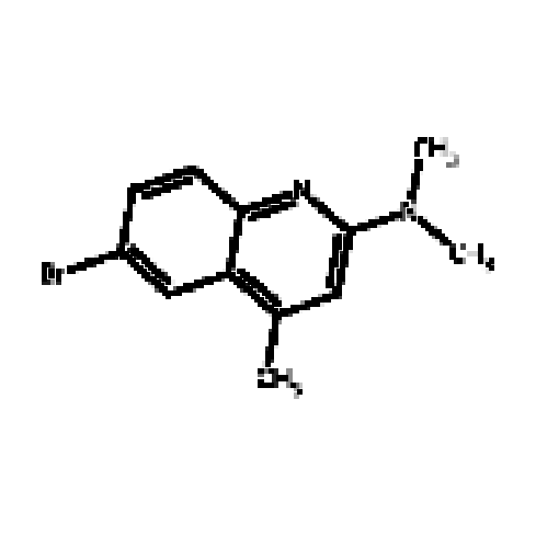 Cc1cc(N(C)C)nc2ccc(Br)cc12